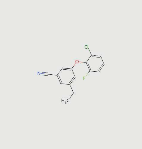 CCc1cc(C#N)cc(Oc2c(F)[c]ccc2Cl)c1